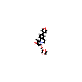 Cc1c2n(c(OC[C@@H]3COCCO3)cc1=O)CCc1cc(C3CCOCC3)ccc1-2